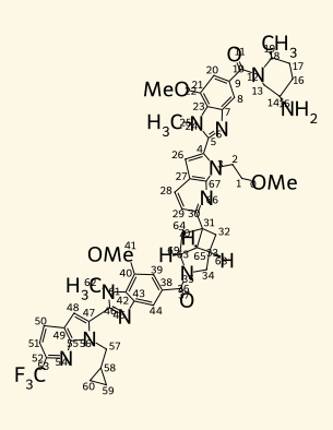 COCCn1c(-c2nc3cc(C(=O)N4C[C@H](N)CC[C@@H]4C)cc(OC)c3n2C)cc2ccc(C34C[C@@H]5CN(C(=O)c6cc(OC)c7c(c6)nc(-c6cc8ccc(C(F)(F)F)nc8n6CC6CC6)n7C)[C@H](C3)[C@@H]54)nc21